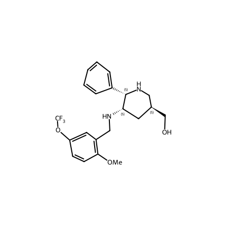 COc1ccc(OC(F)(F)F)cc1CN[C@H]1C[C@H](CO)CN[C@H]1c1ccccc1